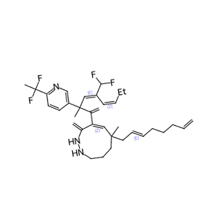 C=CCCC/C=C/CC1(C)/C=C(/C(=C)C(C)(/C=C(\C=C/CC)C(F)F)c2ccc(C(C)(F)F)nc2)C(=C)NNCCC1